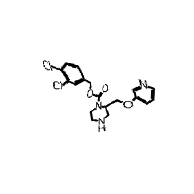 O=C(OCc1ccc(Cl)c(Cl)c1)N1CCNCC1COc1cccnc1